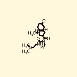 CC(C)CN(C(=O)NCCN(C)C)C(=O)[C@@H]1C[C@@H]2CC(=O)CC[C@H]2N(C)C1